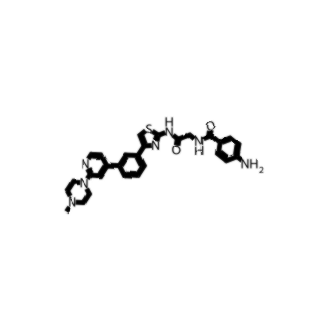 CN1CCN(c2cc(-c3cccc(-c4csc(NC(=O)CNC(=O)c5ccc(N)cc5)n4)c3)ccn2)CC1